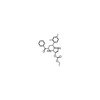 CCOC(=O)OC1=CNN2C1NC(C(=O)c1ccccc1)CC2c1ccc(C)cc1C